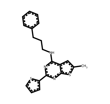 Cc1cc2c(NCCCc3ccccc3)nc(-c3cccs3)nc2s1